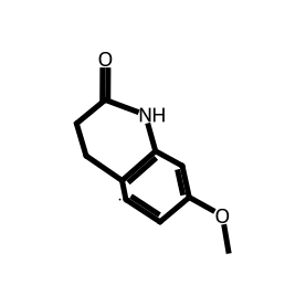 COc1c[c]c2c(c1)NC(=O)CC2